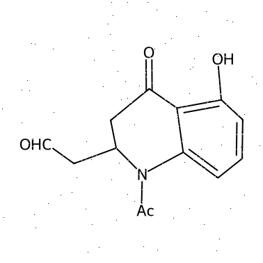 CC(=O)N1c2cccc(O)c2C(=O)CC1CC=O